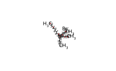 CCCCCCCCCCC[N+](CCCCCC)(CCCCCC)CCCCCC.[Br-]